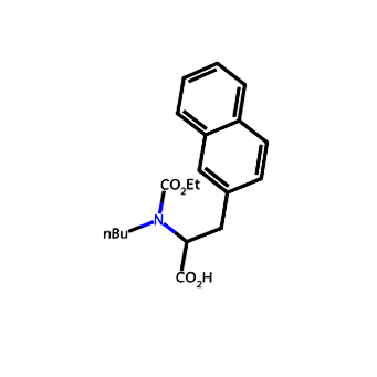 CCCCN(C(=O)OCC)C(Cc1ccc2ccccc2c1)C(=O)O